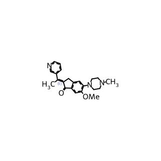 COc1cc2c(cc1N1CCN(C)CC1)C/C(=C(/C)c1cccnc1)C2=O